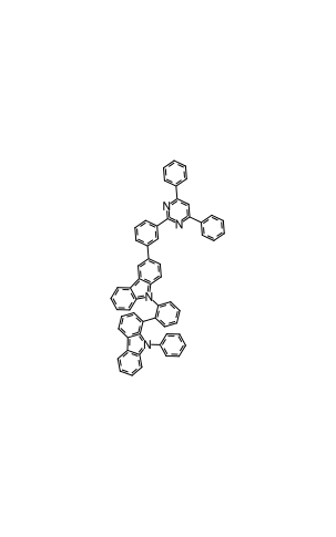 c1ccc(-c2cc(-c3ccccc3)nc(-c3cccc(-c4ccc5c(c4)c4ccccc4n5-c4ccccc4-c4cccc5c6ccccc6n(-c6ccccc6)c45)c3)n2)cc1